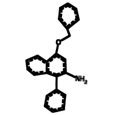 Nc1cc(OCc2ccccc2)c2ccccc2c1-c1ccccc1